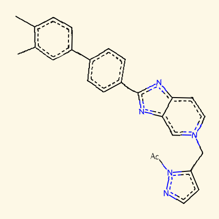 CC(=O)n1nccc1Cn1ccc2nc(-c3ccc(-c4ccc(C)c(C)c4)cc3)nc-2c1